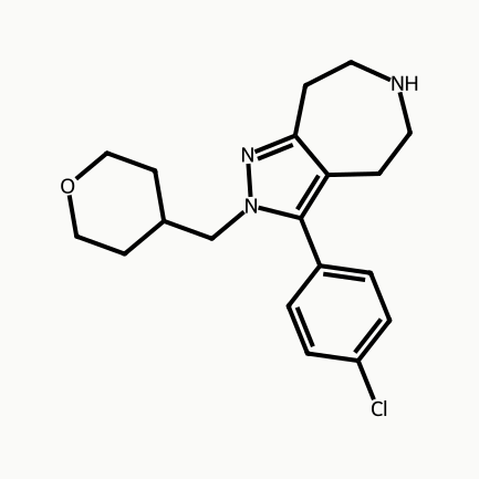 Clc1ccc(-c2c3c(nn2CC2CCOCC2)CCNCC3)cc1